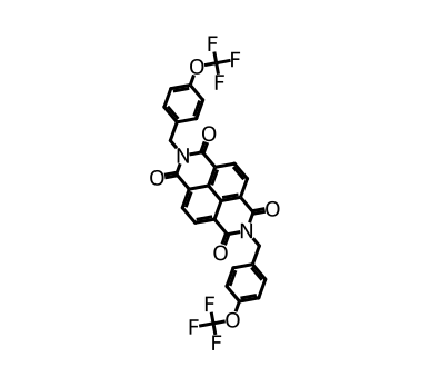 O=C1c2ccc3c4c(ccc(c24)C(=O)N1Cc1ccc(OC(F)(F)F)cc1)C(=O)N(Cc1ccc(OC(F)(F)F)cc1)C3=O